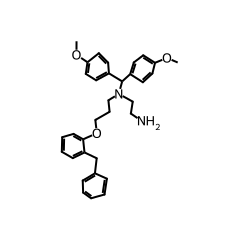 COc1ccc(C(c2ccc(OC)cc2)N(CCN)CCCOc2ccccc2Cc2ccccc2)cc1